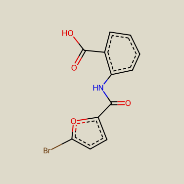 O=C(Nc1ccccc1C(=O)O)c1ccc(Br)o1